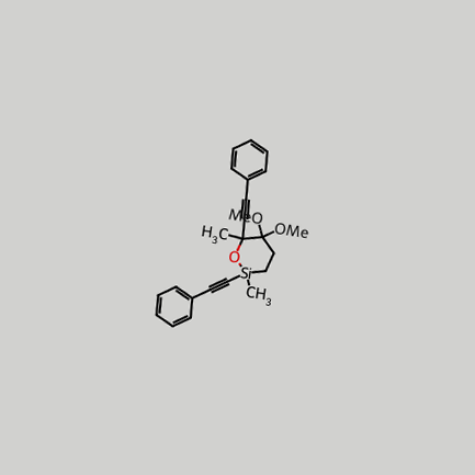 COC1(OC)CC[Si](C)(C#Cc2ccccc2)OC1(C)C#Cc1ccccc1